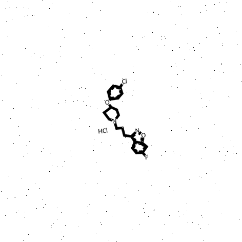 Cl.Fc1ccc2c(CCCN3CCC(Oc4ccc(Cl)cc4)CC3)noc2c1